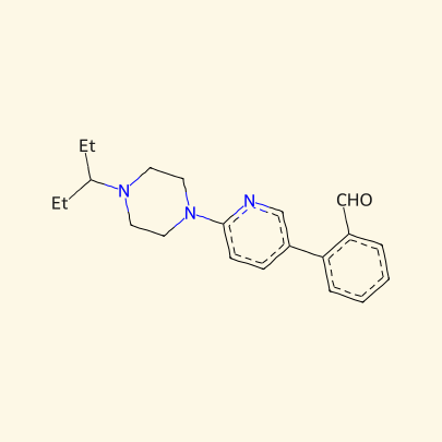 CCC(CC)N1CCN(c2ccc(-c3ccccc3C=O)cn2)CC1